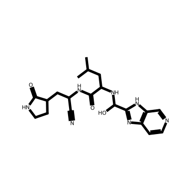 CC(C)CC(NC(O)c1nc2ccncc2[nH]1)C(=O)NC(C#N)CC1CCNC1=O